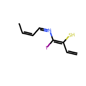 C=C/C(S)=C(I)/N=C\C=C/C